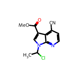 COC(=O)c1cn(C(C)Cl)c2nccc(C#N)c12